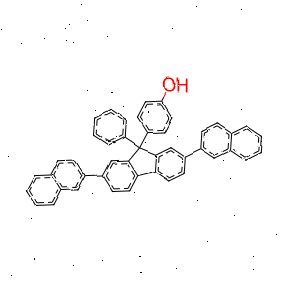 Oc1ccc(C2(c3ccccc3)c3cc(-c4ccc5ccccc5c4)ccc3-c3ccc(-c4ccc5ccccc5c4)cc32)cc1